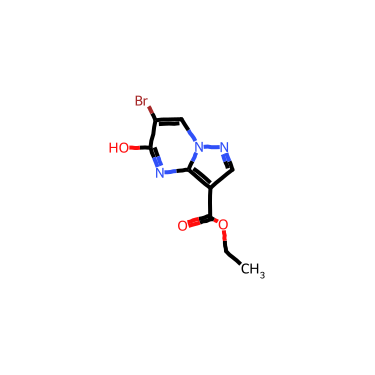 CCOC(=O)c1cnn2cc(Br)c(O)nc12